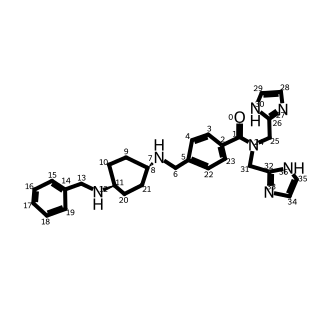 O=C(c1ccc(CN[C@H]2CC[C@H](NCc3ccccc3)CC2)cc1)N(Cc1ncc[nH]1)Cc1ncc[nH]1